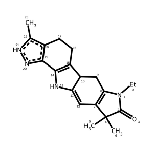 CCN1C(=O)C(C)(C)C2=C1CC1C(=C2)NC2=C1CCc1c2n[nH]c1C